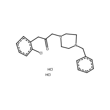 Cl.Cl.O=C(Cc1ccccc1Cl)CN1CCN(Cc2ccccc2)CC1